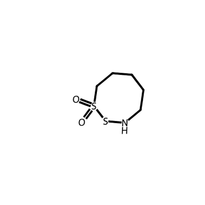 O=S1(=O)CCCCCNS1